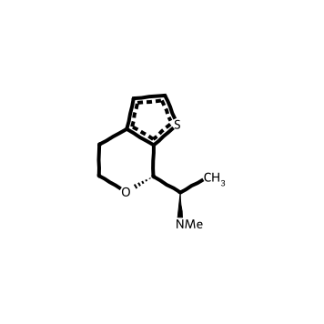 CN[C@H](C)[C@@H]1OCCc2ccsc21